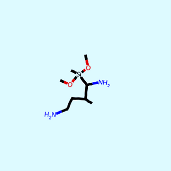 CO[Si](C)(OC)C(N)C(C)CCN